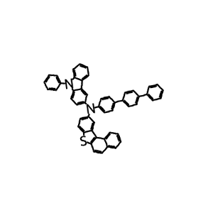 c1ccc(-c2ccc(-c3ccc(N(c4ccc5sc6ccc7ccccc7c6c5c4)c4ccc5c(c4)c4ccccc4n5-c4ccccc4)cc3)cc2)cc1